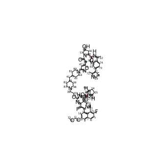 C#Cc1c(F)ccc2cc(OCOC)cc(-c3ncc4c(N5C[C@H]6CC[C@@H](C5)N6C(=O)O)nc(OCCN5CCC(CC6CCN(c7cc([C@H](C(=O)N8C[C@H](O)C[C@H]8C(=O)N[C@@H](C)c8ccc(-c9scnc9C)cc8)C(C)C)on7)CC6)CC5)nc4c3F)c12